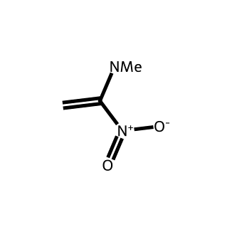 C=C(NC)[N+](=O)[O-]